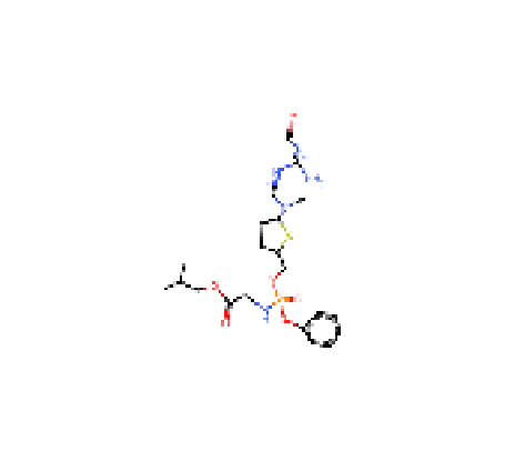 CC(C)COC(=O)CNP(=O)(OCC1CCC(N(C)/C=N\C(N)=N/C=O)S1)Oc1ccccc1